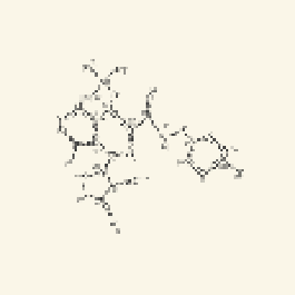 Cc1ccnc2c(O[Si](C(C)C)(C(C)C)C(C)C)c(C(=O)NCc3ccc(F)cc3)nc(N3SCC(=O)C3=O)c12